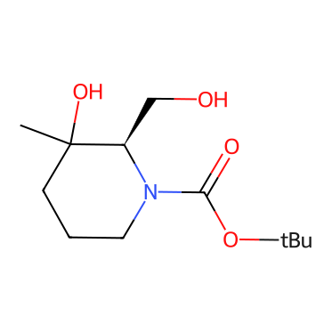 CC(C)(C)OC(=O)N1CCCC(C)(O)[C@H]1CO